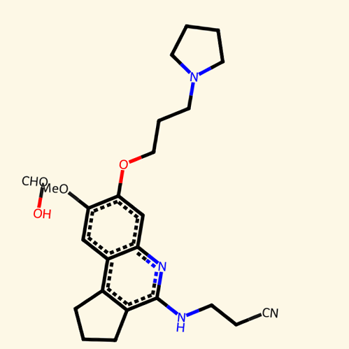 COc1cc2c3c(c(NCCC#N)nc2cc1OCCCN1CCCC1)CCC3.O=CO